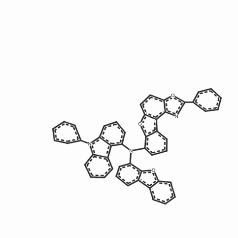 c1ccc(-c2nc3c(ccc4oc5c(N(c6cccc7c6oc6ccccc67)c6cccc7c6c6ccccc6n7-c6ccccc6)cccc5c43)o2)cc1